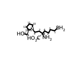 BCCCC[C@@](N)(CCN1CCC[C@@H]1CO)C(=O)O